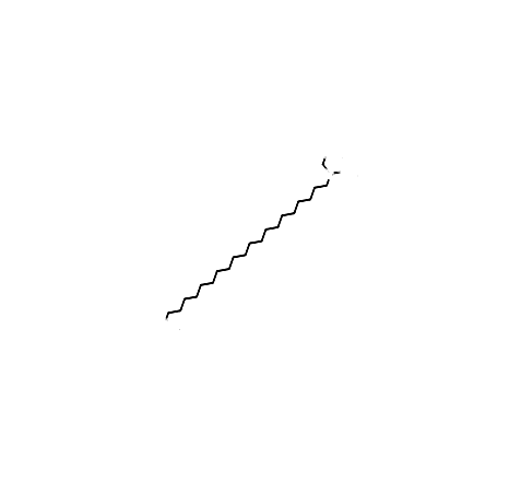 CCCCCCCCCCCCCCCCCCCCCN(C)CC